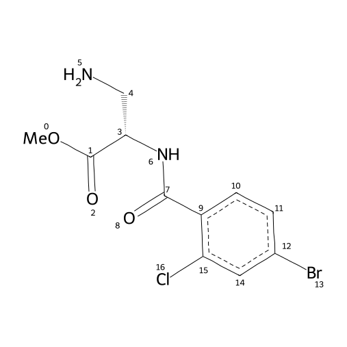 COC(=O)[C@H](CN)NC(=O)c1ccc(Br)cc1Cl